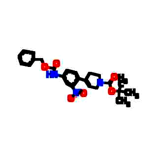 CC(C)(C)OC(=O)N1CC=C(c2ccc(NC(=O)OCc3ccccc3)cc2[N+](=O)[O-])CC1